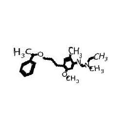 CCN(C)/C=N/c1cc(OC)c(CCCOC(C)c2ccccc2)cc1C